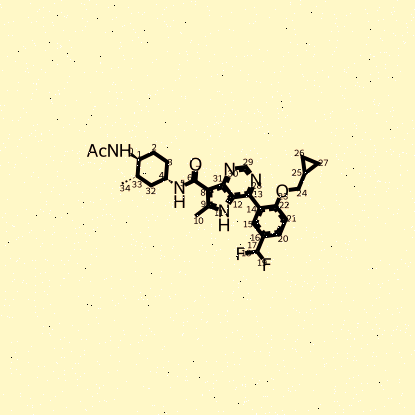 CC(=O)N[C@H]1CC[C@H](NC(=O)c2c(C)[nH]c3c(-c4cc(C(F)F)ccc4OCC4CC4)ncnc23)C[C@@H]1C